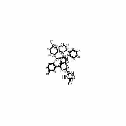 Cc1cccc(-c2nc(-c3noc(=O)[nH]3)nc3nc(N4CCOC[C@H]4c4ccccc4)n(C[C@H]4CC[C@H](C)CC4)c23)c1